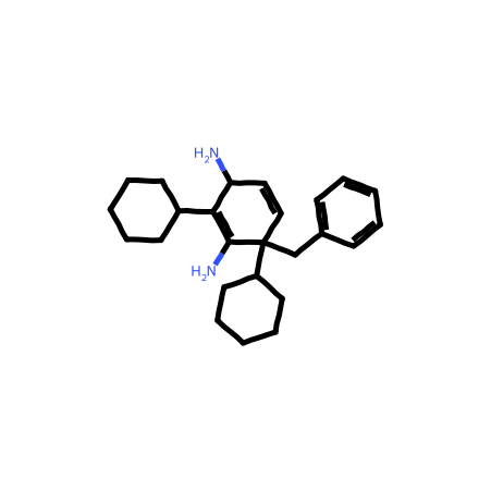 NC1=C(C2CCCCC2)C(N)C=CC1(Cc1ccccc1)C1CCCCC1